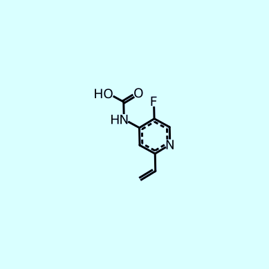 C=Cc1cc(NC(=O)O)c(F)cn1